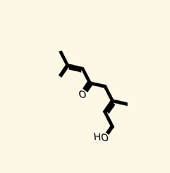 CC(C)=CC(=O)CC(C)=CCO